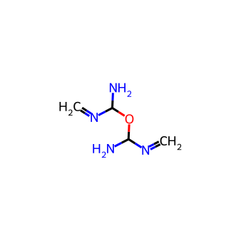 C=NC(N)OC(N)N=C